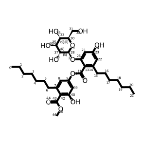 CCCCCCCc1cc(OC(=O)c2c(CCCCCCC)cc(O)cc2O[C@@H]2O[C@H](CO)[C@@H](O)[C@H](O)[C@H]2O)cc(O)c1C(=O)OC